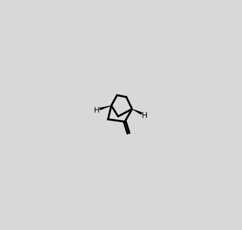 C=C1C[C@@H]2CC[C@H]1C2